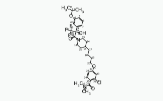 CC(C)Oc1cccc([C@](O)(C(=O)N2CCC(CCCCOc3ccc(C(=O)N(C)C)c(Cl)c3)CC2)C(F)(F)F)c1